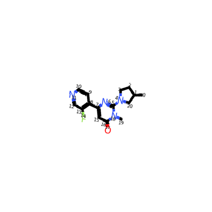 CC1CCN(c2nc(-c3ccncc3F)cc(=O)n2C)C1